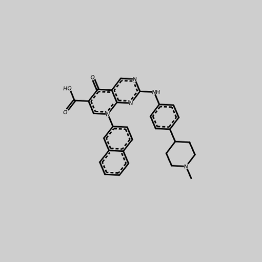 CN1CCC(c2ccc(Nc3ncc4c(=O)c(C(=O)O)cn(-c5ccc6ccccc6c5)c4n3)cc2)CC1